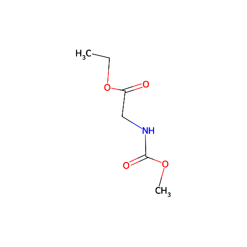 CCOC(=O)CNC(=O)OC